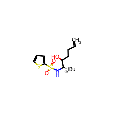 C=CCCC(O)C(NS(=O)(=O)c1cccs1)[C@@H](C)CC